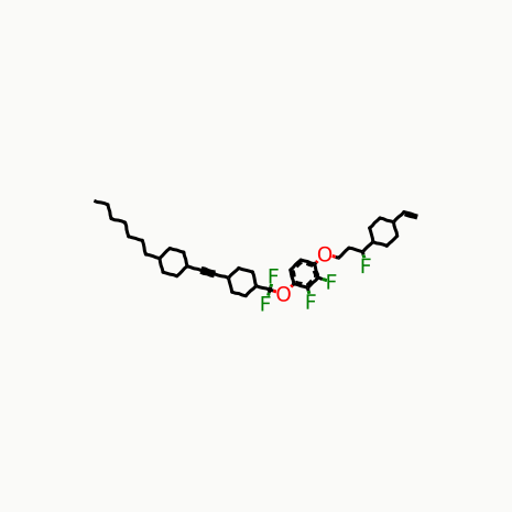 C=CC1CCC(C(F)CCOc2ccc(OC(F)(F)C3CCC(C#CC4CCC(CCCCCCC)CC4)CC3)c(F)c2F)CC1